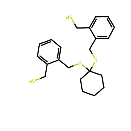 SCc1ccccc1CSC1(SCc2ccccc2CS)CCCCC1